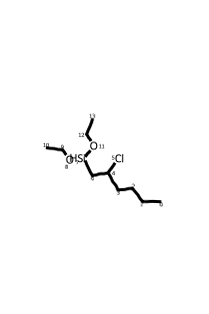 CCCCC(Cl)C[SiH](OCC)OCC